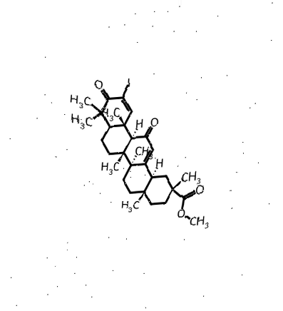 COC(=O)C1(C)CC[C@]2(C)CC[C@]3(C)C(=CC(=O)[C@@H]4[C@@]5(C)C=C(I)C(=O)C(C)(C)C5CC[C@]43C)[C@H]2C1